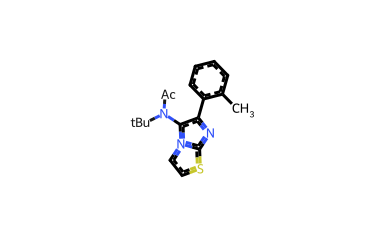 CC(=O)N(c1c(-c2ccccc2C)nc2sccn12)C(C)(C)C